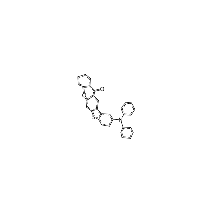 O=c1c2ccccc2oc2cc3sc4ccc(N(c5ccccc5)c5ccccc5)cc4c3cc12